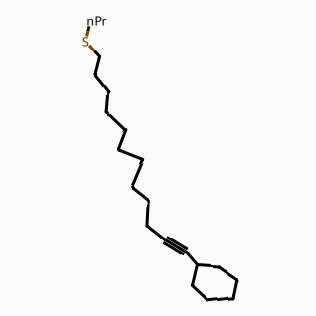 CCCSCCCCCCCCCCC#CC1CCCCC1